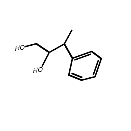 CC(c1ccccc1)C(O)CO